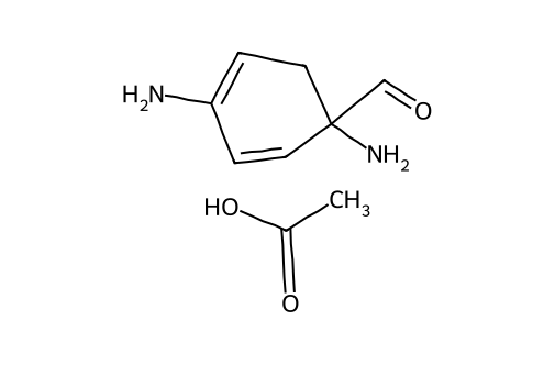 CC(=O)O.NC1=CCC(N)(C=O)C=C1